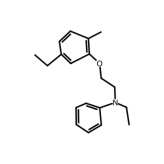 CCc1ccc(C)c(OCCN(CC)c2ccccc2)c1